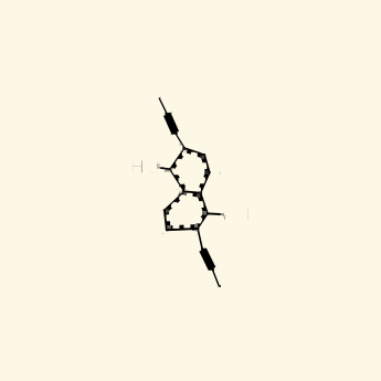 CC#Cc1ccc2c(O)c(C#CC)ccc2c1O